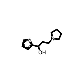 OC(CCN1CCCC1)c1cccs1